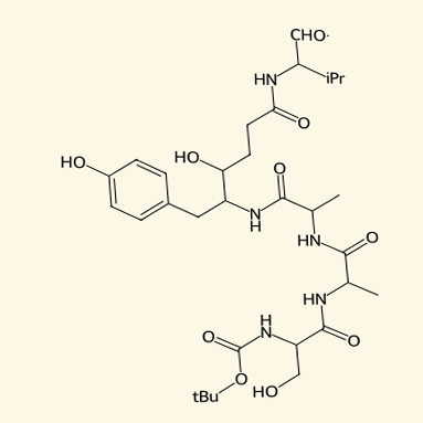 CC(NC(=O)C(C)NC(=O)C(CO)NC(=O)OC(C)(C)C)C(=O)NC(Cc1ccc(O)cc1)C(O)CCC(=O)NC([C]=O)C(C)C